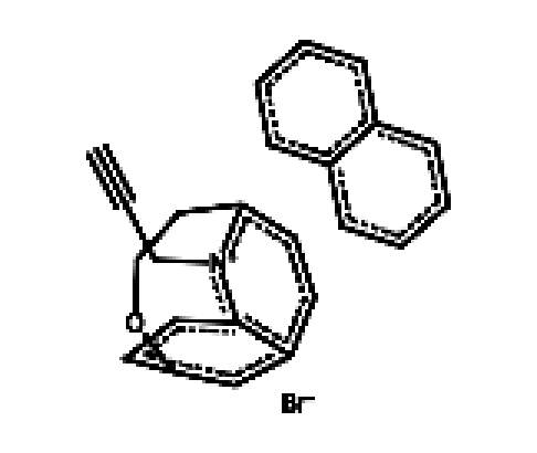 C#CC[n+]1c2ccc3cc(ccc31)OCC2.[Br-].c1ccc2ccccc2c1